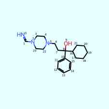 N=CN1CCN(CCC(O)(c2ccccc2)C2CCCCC2)CC1